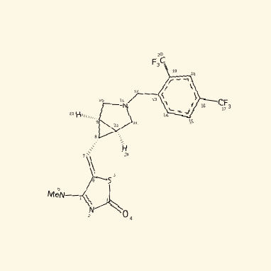 CNC1=NC(=O)S/C1=C\[C@@H]1[C@H]2CN(Cc3ccc(C(F)(F)F)cc3C(F)(F)F)C[C@@H]12